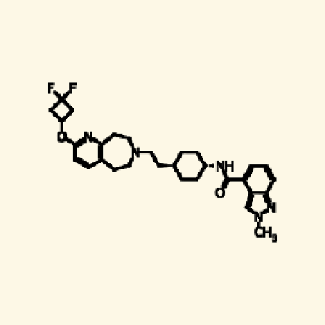 Cn1cc2c(C(=O)N[C@H]3CC[C@H](CCN4CCc5ccc(OC6CC(F)(F)C6)nc5CC4)CC3)cccc2n1